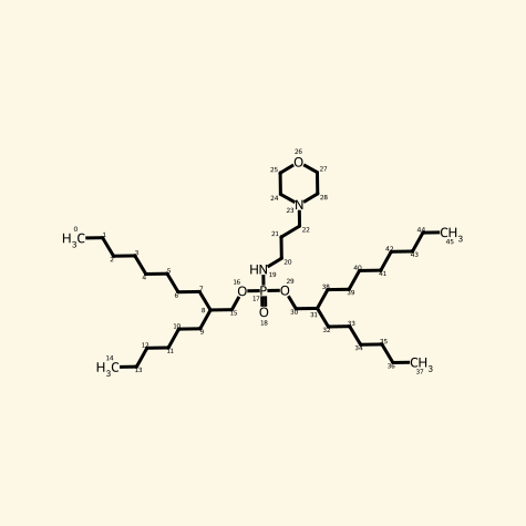 CCCCCCCCC(CCCCCC)COP(=O)(NCCCN1CCOCC1)OCC(CCCCCC)CCCCCCCC